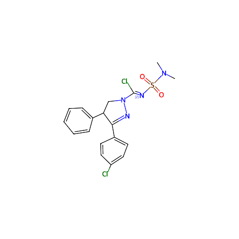 CN(C)S(=O)(=O)/N=C(\Cl)N1CC(c2ccccc2)C(c2ccc(Cl)cc2)=N1